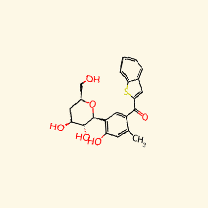 Cc1cc(O)c([C@@H]2O[C@H](CO)C[C@H](O)[C@H]2O)cc1C(=O)c1cc2ccccc2s1